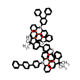 CC1(C)c2ccccc2-c2c(-c3ccccc3N(c3ccc(-c4ccc(-c5ccccc5)cc4)cc3)c3ccccc3-c3ccc4sc5ccc(-c6ccc7c(c6)-c6c(-c8ccccc8N(c8ccc(-c9ccccc9)c(-c9ccccc9)c8)c8ccccc8-c8ccc9sc%10ccccc%10c9c8)cccc6C7(C)C)cc5c4c3)cccc21